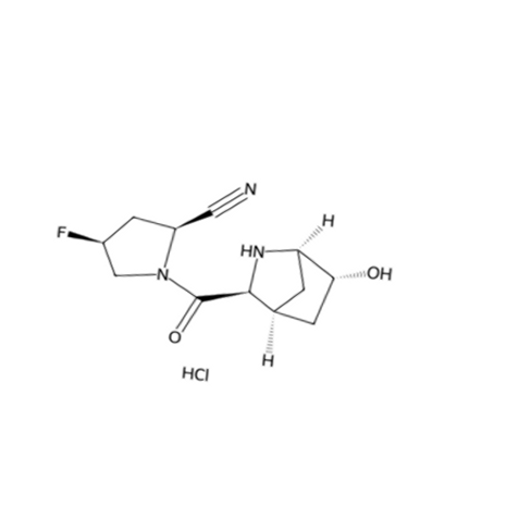 Cl.N#C[C@@H]1C[C@H](F)CN1C(=O)[C@H]1N[C@@H]2C[C@H]1C[C@H]2O